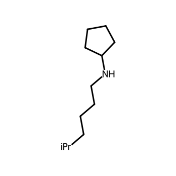 CC(C)CCCCNC1CCCC1